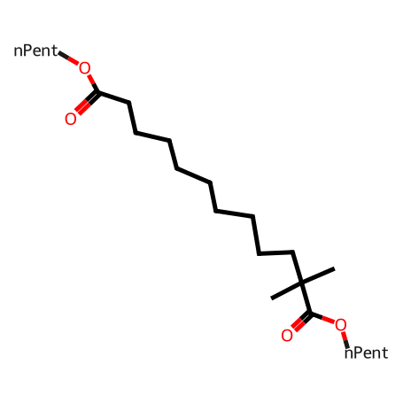 CCCCCOC(=O)CCCCCCCCCC(C)(C)C(=O)OCCCCC